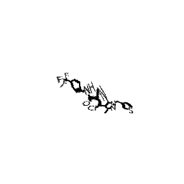 Cc1nn(Cc2ccsc2)c2ncc(C(=O)Nc3ccc(C(F)(F)F)cc3)c(Cl)c12